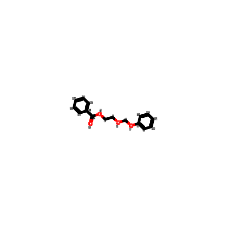 O=C(OCCOCOc1ccccc1)c1ccccc1